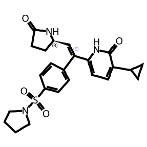 O=C1CC[C@H](/C=C(\c2ccc(S(=O)(=O)N3CCCC3)cc2)c2ccc(C3CC3)c(=O)[nH]2)N1